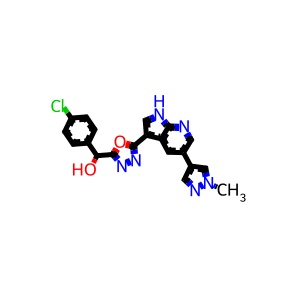 Cn1cc(-c2cnc3[nH]cc(-c4nnc(C(O)c5ccc(Cl)cc5)o4)c3c2)cn1